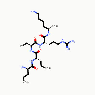 CC(C)C[C@H](NC(=O)[C@H](CCC(=O)O)NC(=O)[C@H](N)CCC(=O)O)C(=O)N[C@@H](CCCNC(=N)N)C(=O)N[C@H](CCCCN)C(=O)O